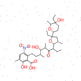 CCC(C(=O)C(C)C(O)C(C)CCc1c([N+](=O)[O-])cc(C)c(O)c1C(=O)O)C1OC(CC)(C2CCC(O)(CC)C(C)O2)CC1C